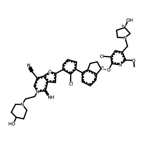 COc1nc(O[C@H]2CCc3c(-c4cccc(-c5cc6c(=N)n(CCN7CCC(O)CC7)cc(C#N)c6o5)c4Cl)cccc32)c(Cl)cc1CN1CC[C@@H](O)C1